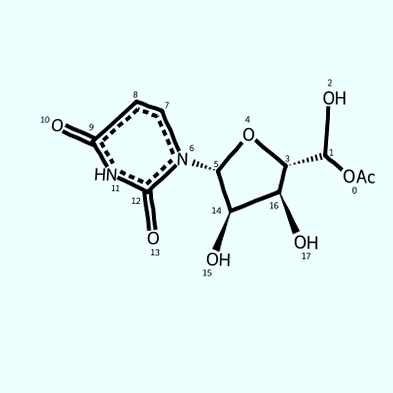 CC(=O)OC(O)[C@H]1O[C@@H](n2ccc(=O)[nH]c2=O)[C@H](O)[C@@H]1O